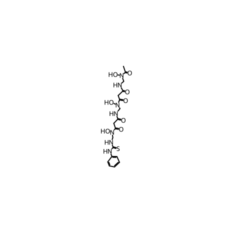 CC(=O)N(O)CNC(=O)CC(=O)N(O)CNC(=O)CC(=O)N(O)CNC(=S)Nc1ccccc1